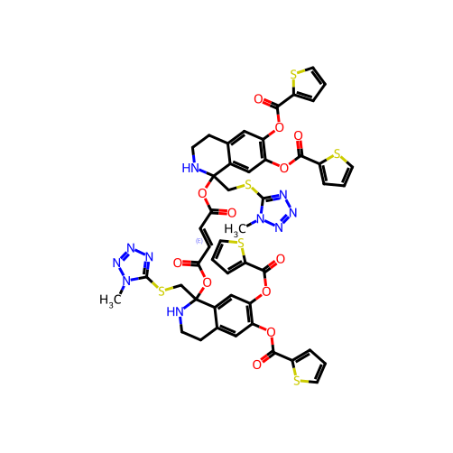 Cn1nnnc1SCC1(OC(=O)/C=C/C(=O)OC2(CSc3nnnn3C)NCCc3cc(OC(=O)c4cccs4)c(OC(=O)c4cccs4)cc32)NCCc2cc(OC(=O)c3cccs3)c(OC(=O)c3cccs3)cc21